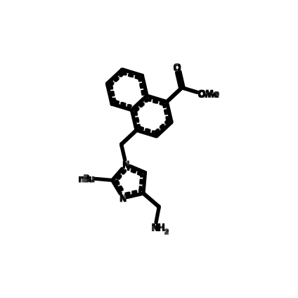 CCCCc1nc(CN)cn1Cc1ccc(C(=O)OC)c2ccccc12